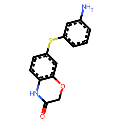 Nc1cccc(Sc2ccc3c(c2)OCC(=O)N3)c1